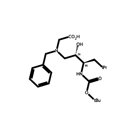 CC(C)C[C@@H](NC(=O)OC(C)(C)C)[C@@H](O)CN(CC(=O)O)Cc1ccccc1